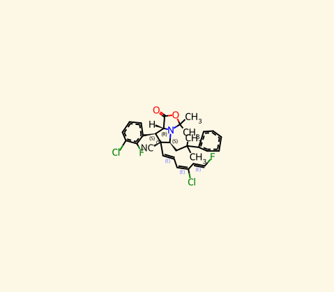 CC(C)(C[C@@H]1N2[C@@H](C(=O)OC2(C)C)[C@H](c2cccc(Cl)c2F)[C@@]1(C#N)/C=C/C=C(Cl)\C=C\F)c1ccccc1